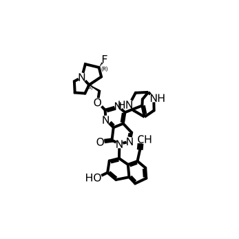 C#Cc1cccc2cc(O)cc(-n3ncc4c(C5=C6CNCC(C5)NC6)nc(OC[C@@]56CCCN5C[C@H](F)C6)nc4c3=O)c12